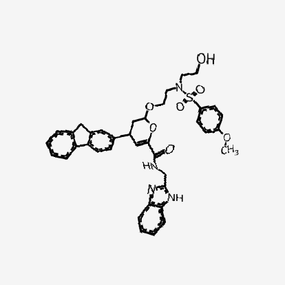 COc1ccc(S(=O)(=O)N(CCO)CCOC2CC(c3ccc4c(c3)Cc3ccccc3-4)C=C(C(=O)NCc3nc4ccccc4[nH]3)O2)cc1